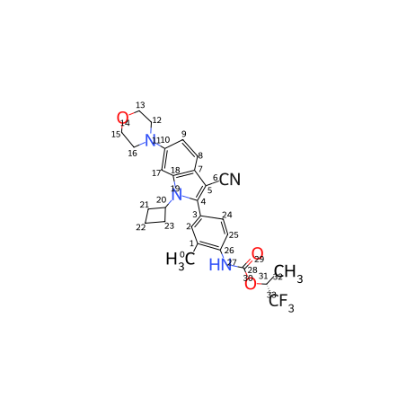 Cc1cc(-c2c(C#N)c3ccc(N4CCOCC4)cc3n2C2CCC2)ccc1NC(=O)O[C@H](C)C(F)(F)F